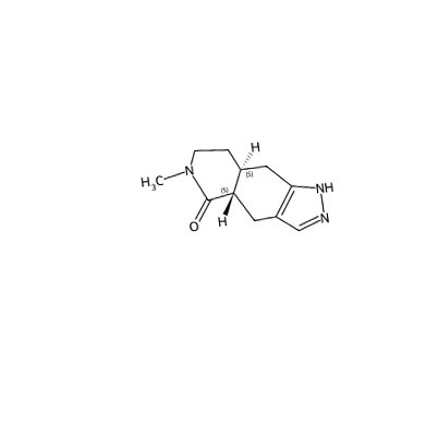 CN1CC[C@H]2Cc3[nH]ncc3C[C@@H]2C1=O